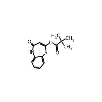 CC(C)(C)C(=O)OC1=CC(=O)Nc2ccccc2S1